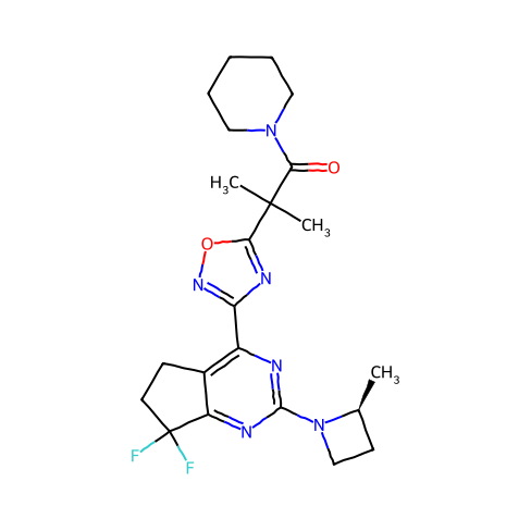 C[C@H]1CCN1c1nc(-c2noc(C(C)(C)C(=O)N3CCCCC3)n2)c2c(n1)C(F)(F)CC2